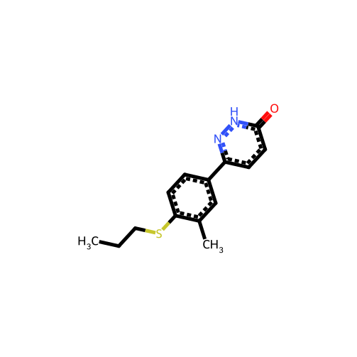 CCCSc1ccc(-c2ccc(=O)[nH]n2)cc1C